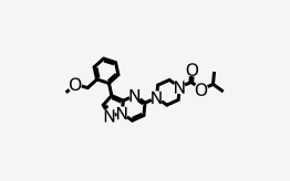 COCc1ccccc1-c1cnn2ccc(N3CCN(C(=O)OC(C)C)CC3)nc12